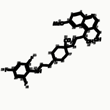 COc1ccc2ncc(CO)c([C@@H](O)CCC3(C(=O)O)CCN(CCNc4c(F)cc(F)cc4F)CC3)c2c1